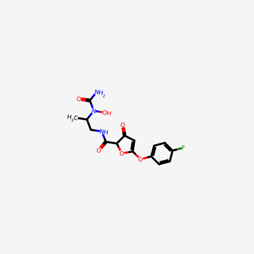 CC(CNC(=O)C1OC(Oc2ccc(F)cc2)=CC1=O)N(O)C(N)=O